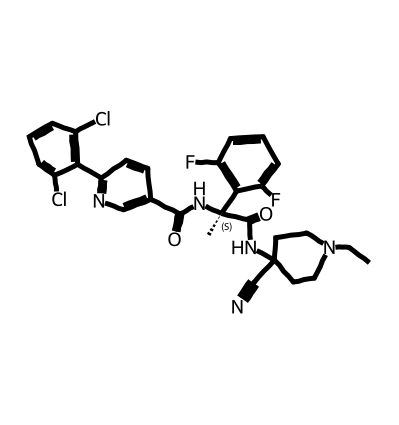 CCN1CCC(C#N)(NC(=O)[C@@](C)(NC(=O)c2ccc(-c3c(Cl)cccc3Cl)nc2)c2c(F)cccc2F)CC1